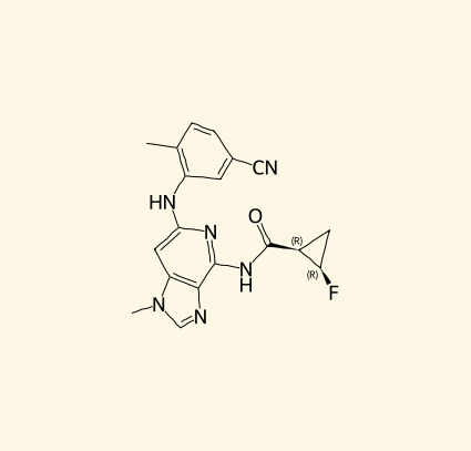 Cc1ccc(C#N)cc1Nc1cc2c(ncn2C)c(NC(=O)[C@H]2C[C@H]2F)n1